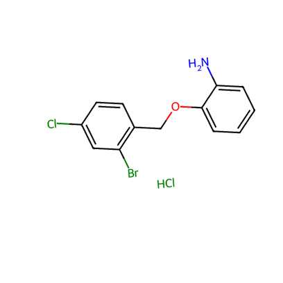 Cl.Nc1ccccc1OCc1ccc(Cl)cc1Br